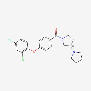 O=C(c1ccc(Oc2ccc(F)cc2Cl)cc1)N1CC[C@H](N2CCCC2)C1